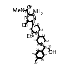 CC[C@H]1CN(c2nc(N)c(C(=O)NC)nc2Cl)CCN1C1CCN([C@@H](CO)c2ccc(C)cc2)CC1